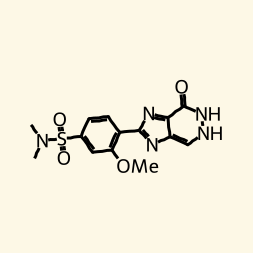 COc1cc(S(=O)(=O)N(C)C)ccc1-c1nc2c[nH][nH]c(=O)c-2n1